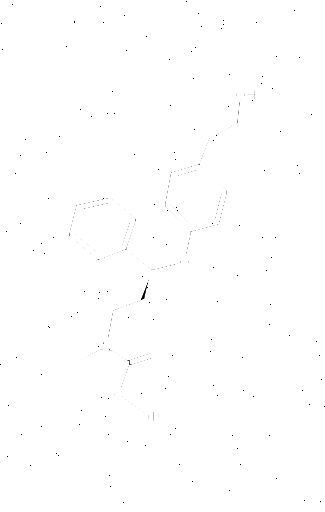 CN(CC[C@H](Oc1ccc(CCO)cc1)c1ccccc1)C(=O)OC(C)(C)C